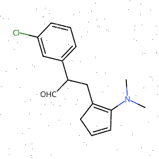 CN(C)C1=C(CC(C=O)c2cccc(Cl)c2)CC=C1